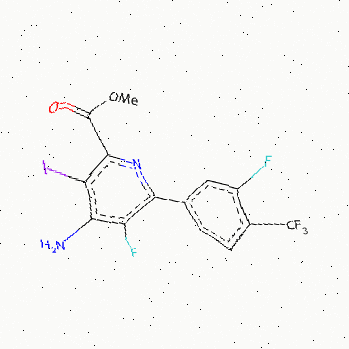 COC(=O)c1nc(-c2ccc(C(F)(F)F)c(F)c2)c(F)c(N)c1I